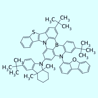 CC(C)(C)c1ccc2c(c1)N(c1cccc3c1oc1ccccc13)c1cc(N3c4ccc(C(C)(C)C)cc4C4(C)CCCCC34C)cc3c1B2c1cc(C(C)(C)C)cc2c4sc5ccccc5c4n-3c12